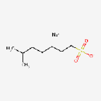 CC(C)CCCCCS(=O)(=O)[O-].[Na+]